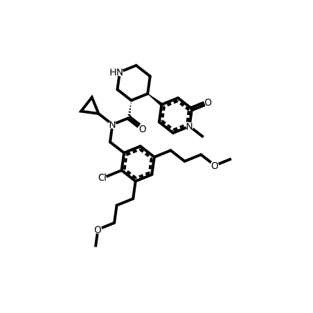 COCCCc1cc(CCCOC)c(Cl)c(CN(C(=O)[C@@H]2CNCC[C@H]2c2ccn(C)c(=O)c2)C2CC2)c1